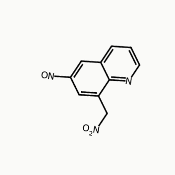 O=Nc1cc(C[N+](=O)[O-])c2ncccc2c1